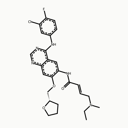 CCN(C)CC=CC(=O)Nc1cc2c(Nc3ccc(F)c(Cl)c3)ncnc2cc1OC[C@@H]1CCCO1